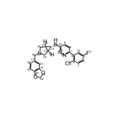 Fc1ccc(Cl)c(-c2ccc(N[C@@H]3[C@@H]4CN(Cc5ccc6c(c5)OCO6)C[C@@H]43)nn2)c1